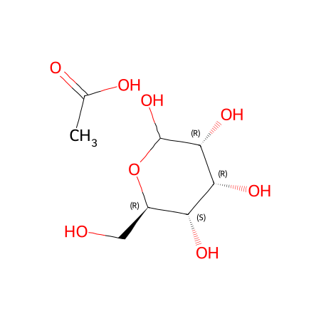 CC(=O)O.OC[C@H]1OC(O)[C@H](O)[C@H](O)[C@@H]1O